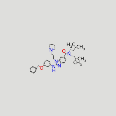 CC(C)CCN(CCC(C)C)C(=O)c1ccc2nc(Nc3cccc(OCc4ccccc4)c3)n(CCCN3CCCCC3)c2c1